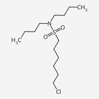 CCCCN(CCCC)S(=O)(=O)CCCCCCCl